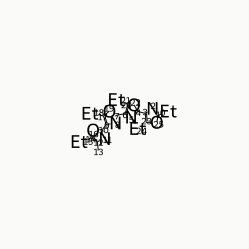 CCc1nc(-c2nc(-c3nc(-c4nc(C)c(CC)o4)c(CC)o3)c(CC)o2)c(CC)o1